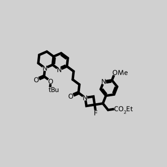 CCOC(=O)CC(c1ccc(OC)nc1)C1(F)CN(C(=O)CCCc2ccc3c(n2)N(C(=O)OC(C)(C)C)CCC3)C1